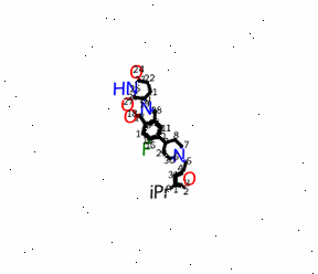 CC(C)c1coc(CN2CCC(c3cc4c(cc3F)C(=O)N(C3CCC(=O)NC3=O)C4)CC2)c1